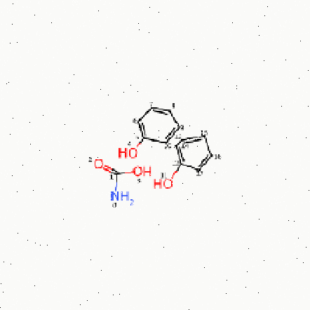 NC(=O)O.Oc1ccccc1.Oc1ccccc1